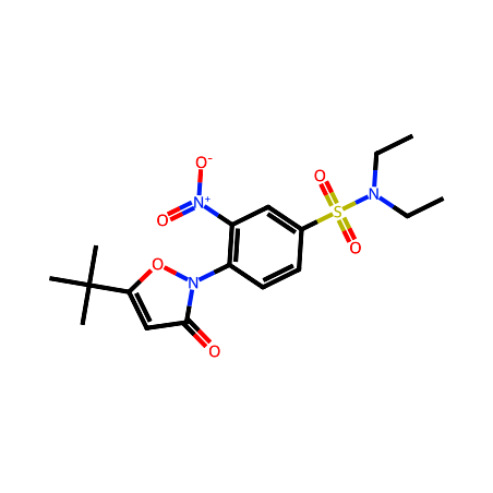 CCN(CC)S(=O)(=O)c1ccc(-n2oc(C(C)(C)C)cc2=O)c([N+](=O)[O-])c1